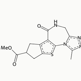 COC(=O)C1Cc2sc3c(c2C1)C(=O)NCc1nnc(C)n1-3